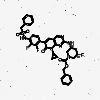 O=C(OCc1ccccc1)N1C[C@@H](F)C[C@H](Nc2ncc3cc(-c4ccc(NS(=O)(=O)Cc5ccccc5)c(F)c4F)c(=O)n(C4CC4)c3n2)C1